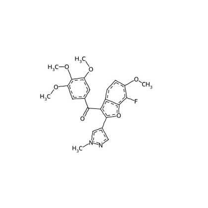 COc1cc(C(=O)c2c(-c3cnn(C)c3)oc3c(F)c(OC)ccc23)cc(OC)c1OC